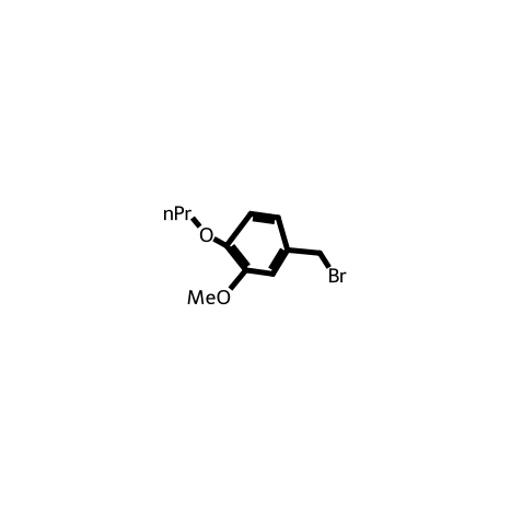 CCCOc1ccc(CBr)cc1OC